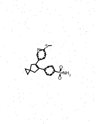 CSc1ccc(C2=C(c3ccc(S(N)(=O)=O)cc3)CC3(CC3)C2)cn1